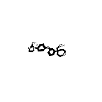 Cc1nccn1-c1ccc(Sc2cccc(C3(CO)CCOCC3)c2)cc1